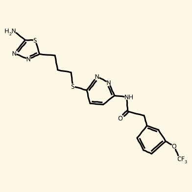 Nc1nnc(CCCSc2ccc(NC(=O)Cc3cccc(OC(F)(F)F)c3)nn2)s1